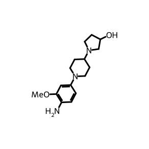 COc1cc(N2CCC(N3CCC(O)C3)CC2)ccc1N